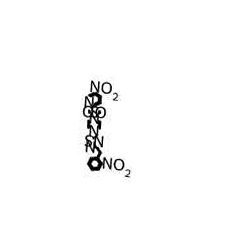 O=[N+]([O-])c1ccc(S(=O)(=O)N2CCN(c3nc(Cc4ccccc4[N+](=O)[O-])ns3)CC2)nc1